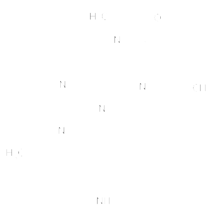 CCC1C(=O)N(C)c2cnc(N(CC)C3CCNCC3)nc2N1C1CCCC1